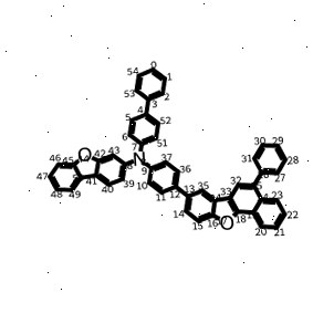 c1ccc(-c2ccc(N(c3ccc(-c4ccc5oc6c7ccccc7c(-c7ccccc7)cc6c5c4)cc3)c3ccc4c(c3)oc3ccccc34)cc2)cc1